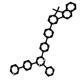 CC1(C)c2ccc(-c3ccc(-c4ccc(-c5cc(-c6ccc(-c7cccnc7)cc6)nc(-c6ccccc6)n5)cc4)cc3)cc2-c2ccc3ccccc3c21